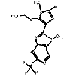 CCSc1c(-c2nc3cc(C(F)(F)F)ncc3n2C)nc(Br)n1C